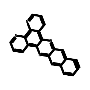 c1ccc2cc3nc4c5cccnc5c5ncccc5c4nc3cc2c#1